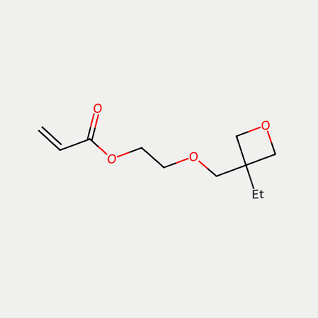 C=CC(=O)OCCOCC1(CC)COC1